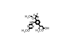 CCO[C@H](c1ccc([C@H](CC)CC(=O)O)cc1Nc1cnc(OC)cn1)C(F)(F)F